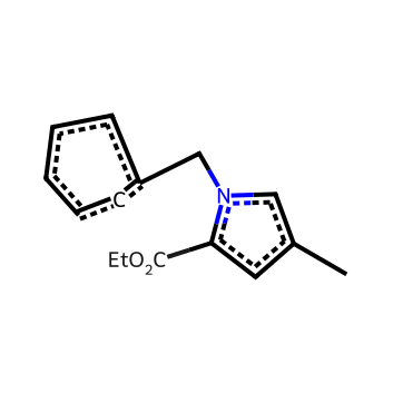 CCOC(=O)c1cc(C)cn1Cc1ccccc1